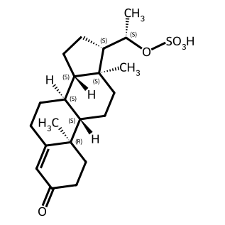 C[C@H](OS(=O)(=O)O)[C@H]1CC[C@H]2[C@@H]3CCC4=CC(=O)CC[C@]4(C)[C@H]3CC[C@]12C